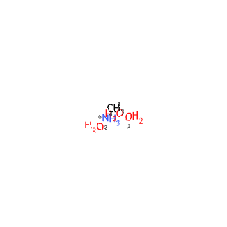 N.O.O.O.[CH3]